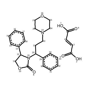 O=C(O)C=CC(=O)O.O=C1OCC(c2ccccc2)N1C(CCN1CCOCC1)c1ccccc1